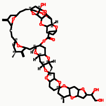 C=C1CC2CC[C@@]34C[C@@]5(O)OC6C(OC7CCC(CC(=O)OC8CC9O[C@@H]%10C[C@@]%11(CC%12O[C@@]%13(CCC%12O%11)C[C@H](C)C%11OC%12CC(C(O)CO)OC%12CC%11O%13)O[C@@H]%10C[C@@H]9O[C@H]8CC8O[C@@H](CCC1O2)C[C@@H](C)C8=C)O[C@@H]7C6O3)C5O4